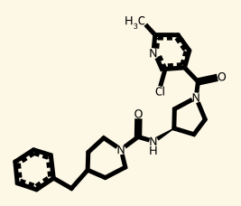 Cc1ccc(C(=O)N2CC[C@@H](NC(=O)N3CCC(Cc4ccccc4)CC3)C2)c(Cl)n1